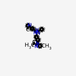 Cc1ccc2nc(C(C)C)n(-c3ccc4cc(-c5nc(-c6ccccc6)nc(-c6ccc(-c7ncccc7C)cc6)n5)ccc4c3)c2c1